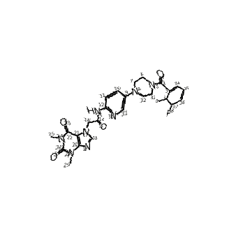 CC1C(C(=O)N2CCN(c3ccc(NC(=O)Cn4cnc5c4c(=O)n(C)c(=O)n5C)nc3)CC2)=CC=CC1F